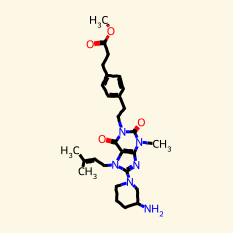 COC(=O)CCc1ccc(CCn2c(=O)c3c(nc(N4CCCC(N)C4)n3CC=C(C)C)n(C)c2=O)cc1